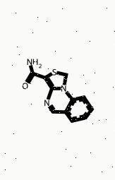 NC(=O)C1=C2N=Cc3ccccc3N2CS1